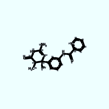 CCC[C@]1(c2cccc(NC(=O)c3ccccn3)c2)N=C(N)NC(=O)C1C